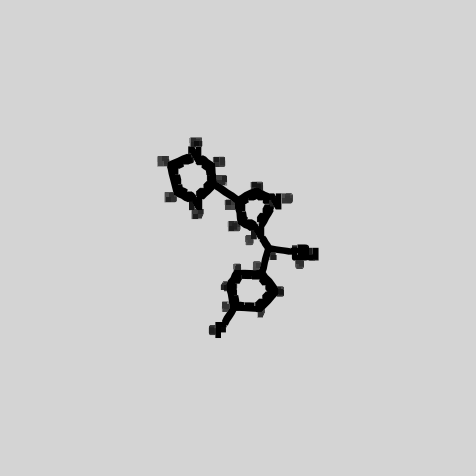 CC(C)(C)C(c1ccc(F)cc1)n1cc(-c2cnccn2)cn1